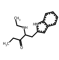 CCNC(Cc1cc2ccccc2[nH]1)C(=O)CC